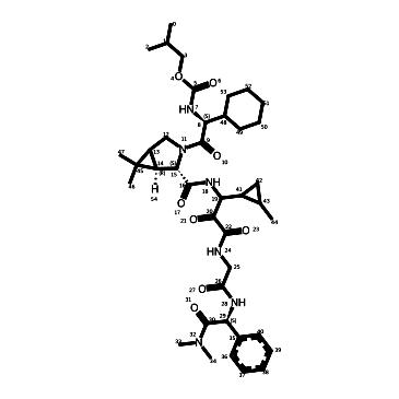 CC(C)COC(=O)N[C@H](C(=O)N1CC2[C@@H]([C@H]1C(=O)NC(C(=O)C(=O)NCC(=O)N[C@H](C(=O)N(C)C)c1ccccc1)C1CC1C)C2(C)C)C1CCCCC1